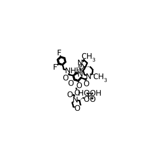 CC1=NO[C@@]2(CC[C@H](C)N3C[C@H]2n2cc(C(=O)NCc4ccc(F)cc4F)c(=O)c(OCOC(=O)N4CCOC[C@H]4COP(=O)(O)O)c2C3=O)C1